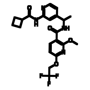 COc1nc(OCC(F)(F)F)ccc1C(=O)NC(C)c1ccnc(NC(=O)C2CCC2)c1